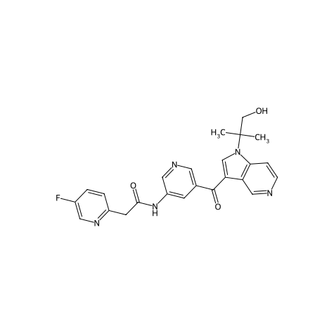 CC(C)(CO)n1cc(C(=O)c2cncc(NC(=O)Cc3ccc(F)cn3)c2)c2cnccc21